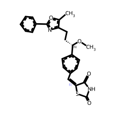 CO[C@@H](CCc1nc(-c2ccccc2)oc1C)c1ccc(/C=C2/SC(=O)NC2=O)cc1